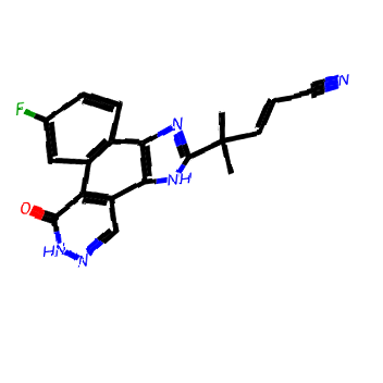 CC(C)(C=CC#N)c1nc2c3ccc(F)cc3c3c(=O)[nH]ncc3c2[nH]1